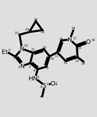 CCc1nc2c(N[S+](C)[O-])cc(-c3cc(C)c(=O)n(C)c3)cc2n1CC1CC1